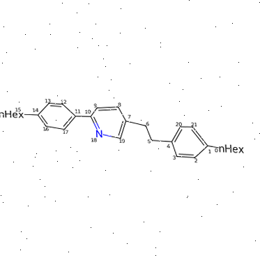 CCCCCCc1ccc(CCc2ccc(-c3ccc(CCCCCC)cc3)nc2)cc1